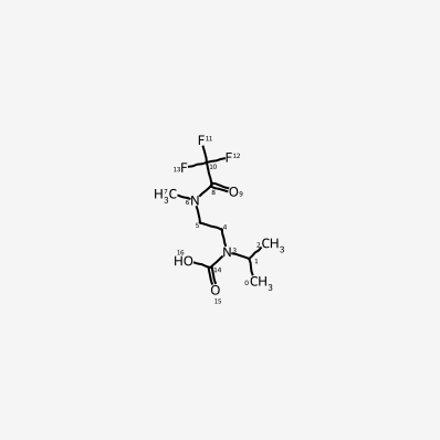 CC(C)N(CCN(C)C(=O)C(F)(F)F)C(=O)O